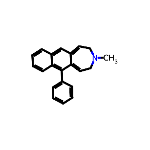 CN1CC=c2cc3ccccc3c(-c3ccccc3)c2=CC1